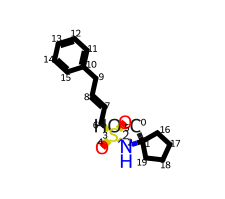 O=C(O)C1(NS(=O)(=O)CC=CCc2ccccc2)CCCC1